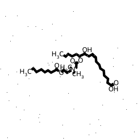 CCCCCCCC(=O)OCC[N+](C)(C)CC(=O)OC(CCCCC)C(O)C/C=C\CCCCCCCC(=O)O